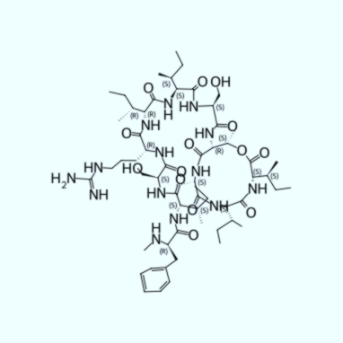 CCC(C)[C@@H]1NC(=O)[C@H](C)NC(=O)[C@H](NC(=O)[C@H](CO)NC(=O)[C@@H](NC(=O)[C@H](NC(=O)[C@@H](CCCNC(=N)N)NC(=O)[C@H](CO)NC(=O)[C@@H](NC(=O)[C@@H](Cc2ccccc2)NC)[C@@H](C)CC)[C@H](C)CC)[C@@H](C)CC)[C@H](C)OC(=O)[C@H]([C@@H](C)CC)NC1=O